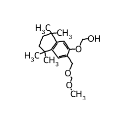 COCOCc1cc2c(cc1OCO)C(C)(C)CCC2(C)C